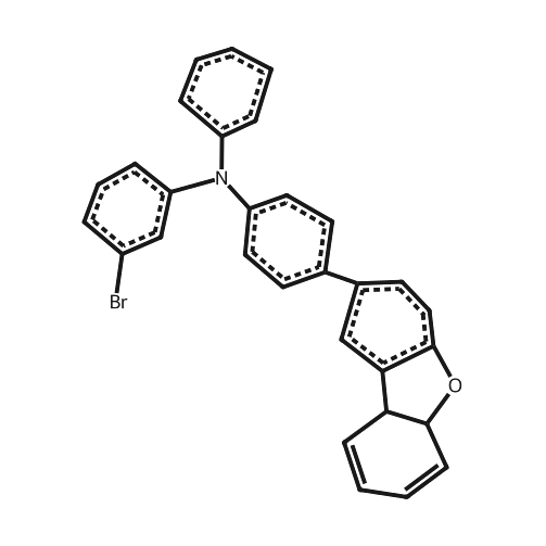 Brc1cccc(N(c2ccccc2)c2ccc(-c3ccc4c(c3)C3C=CC=CC3O4)cc2)c1